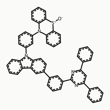 [O-][S+]1c2ccccc2N(c2cccc(-n3c4ccccc4c4cc(-c5cccc(-c6nc(-c7ccccc7)cc(-c7ccccc7)n6)c5)ccc43)c2)c2ccccc21